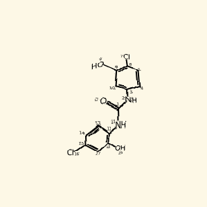 O=C(Nc1ccc(Cl)c(O)c1)Nc1ccc(Cl)cc1O